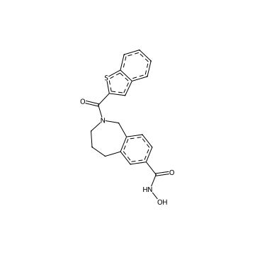 O=C(NO)c1ccc2c(c1)CCCN(C(=O)c1cc3ccccc3s1)C2